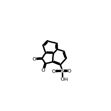 O=C1C(=O)c2c(S(=O)(=O)O)ccc3cccc1c23